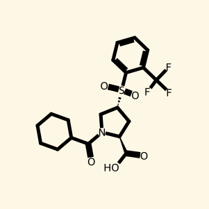 O=C(O)[C@@H]1C[C@@H](S(=O)(=O)c2ccccc2C(F)(F)F)CN1C(=O)C1CCCCC1